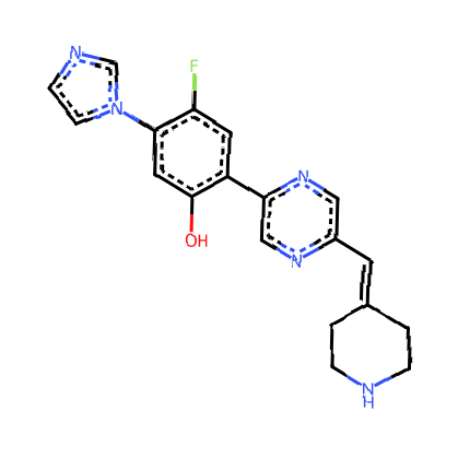 Oc1cc(-n2ccnc2)c(F)cc1-c1cnc(C=C2CCNCC2)cn1